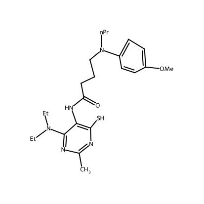 CCCN(CCCC(=O)Nc1c(S)nc(C)nc1N(CC)CC)c1ccc(OC)cc1